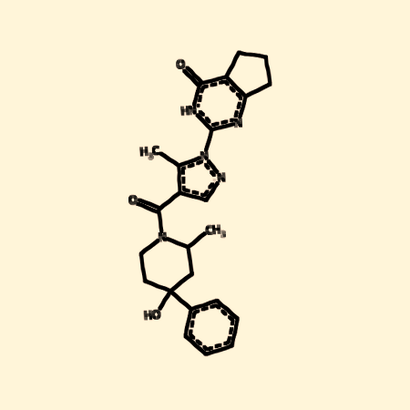 Cc1c(C(=O)N2CCC(O)(c3ccccc3)CC2C)cnn1-c1nc2c(c(=O)[nH]1)CCC2